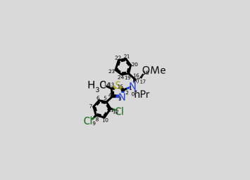 CCCN(c1nc(-c2ccc(Cl)cc2Cl)c(C)s1)[C@@H](COC)c1ccccc1